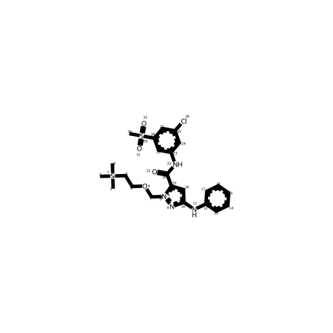 C[Si](C)(C)CCOCn1nc(Nc2ccccc2)cc1C(=O)Nc1cc(Cl)cc(S(C)(=O)=O)c1